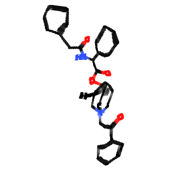 O=C(Cc1ccccc1)NC(C(=O)O[C@H]1C[N+]2(CC(=O)c3ccccc3)CCC1CC2)c1ccccc1